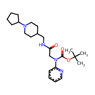 CC(C)(C)OC(=O)N(CC(=O)NCC1CCN(C2CCCC2)CC1)c1ccccn1